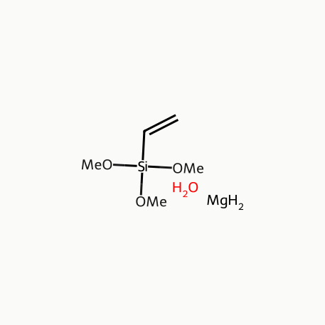 C=C[Si](OC)(OC)OC.O.[MgH2]